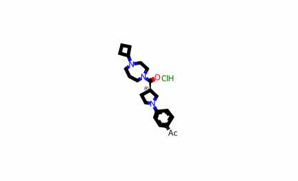 CC(=O)c1ccc(N2CC[C@@H](C(=O)N3CCCN(C4CCC4)CC3)C2)cc1.Cl